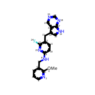 COc1ncccc1CNc1ccc(Cc2c[nH]c3ncncc23)c(F)n1